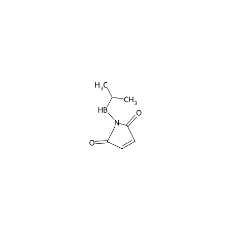 CC(C)BN1C(=O)C=CC1=O